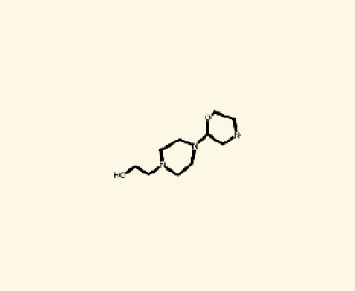 OCCN1CCN(C2C[N]CCO2)CC1